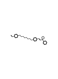 C=Cc1ccc(CCCCCCCCc2ccc(C=CC(=O)c3ccccc3)cc2)cc1